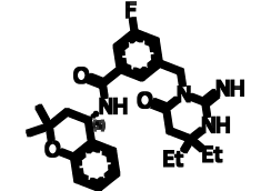 CCC1(CC)CC(=O)N(Cc2cc(F)cc(C(=O)N[C@H]3CC(C)(C)Oc4ccccc43)c2)C(=N)N1